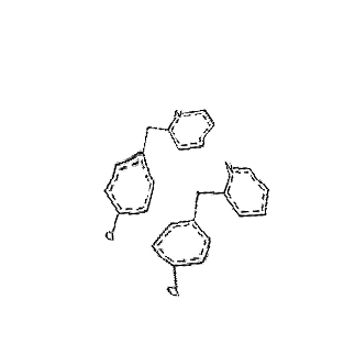 Clc1ccc(Cc2ccccn2)cc1.Clc1ccc(Cc2ccccn2)cc1